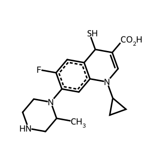 CC1CNCCN1c1cc2c(cc1F)C(S)C(C(=O)O)=CN2C1CC1